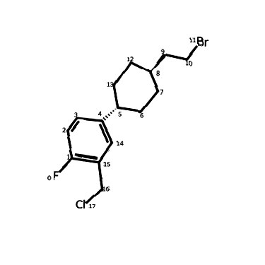 Fc1ccc([C@H]2CC[C@H](CCBr)CC2)cc1CCl